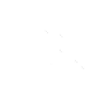 Cn1ccc(-c2cccn3c(Nc4ccccc4)c(CC(=O)O)nc23)n1